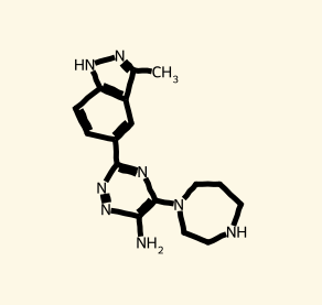 Cc1n[nH]c2ccc(-c3nnc(N)c(N4CCCNCC4)n3)cc12